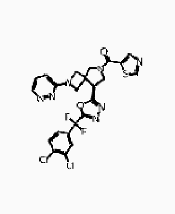 O=C(c1cncs1)N1CC(c2nnc(C(F)(F)c3ccc(Cl)c(Cl)c3)o2)C2(C1)CN(c1cccnn1)C2